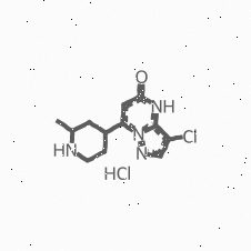 CC1CC(c2cc(=O)[nH]c3c(Cl)cnn23)CCN1.Cl